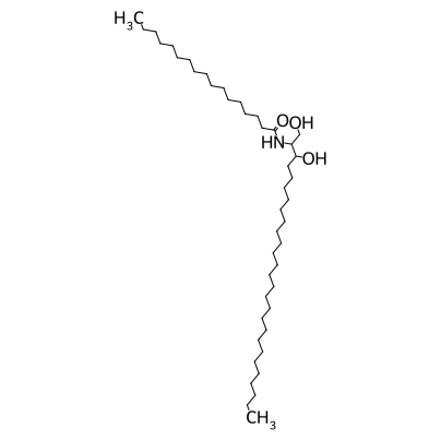 CCCCCCCCCCCCCCCCCCCCCCCCC(O)C(CO)NC(=O)CCCCCCCCCCCCCCCC